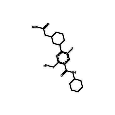 CCCSc1nc(N2CCCC(CC(=O)OC)C2)c(F)cc1C(=O)NC1CCCCC1